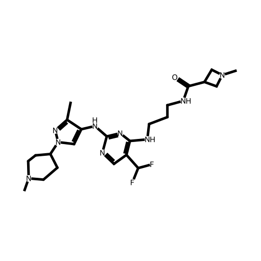 Cc1nn(C2CCN(C)CC2)cc1Nc1ncc(C(F)F)c(NCCCNC(=O)C2CN(C)C2)n1